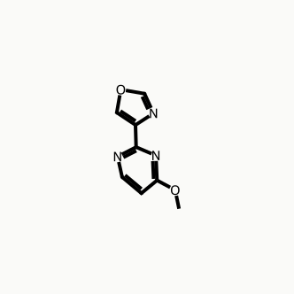 COc1ccnc(-c2cocn2)n1